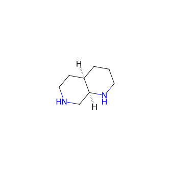 C1CN[C@H]2CNCC[C@H]2C1